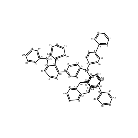 c1ccc(-c2ccc(N(c3ccc(-c4cccc5c4c4ccccc4n5-c4ccccc4)cc3)c3ccc(-c4ccccc4)c4c3C3c5ccccc5C4c4ccccc43)cc2)cc1